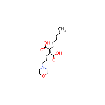 CCCCCCC(C(=O)O)=C(CCCN1CCOCC1)C(=O)O